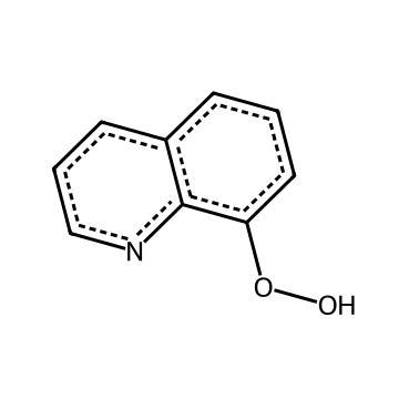 OOc1cccc2cccnc12